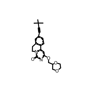 CC(C)(C)C#Cc1ccc2c(c1)CCn1c-2cc(OCC2COCCO2)nc1=O